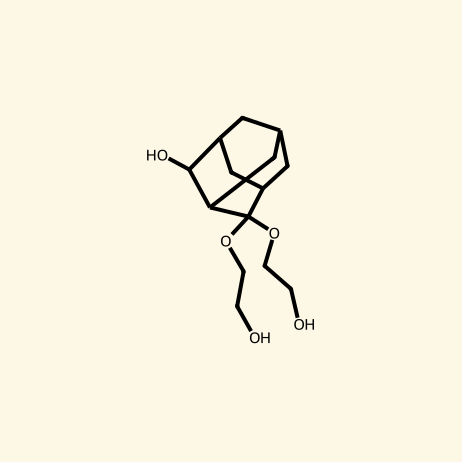 OCCOC1(OCCO)C2CC3CC(C2)C(O)C1C3